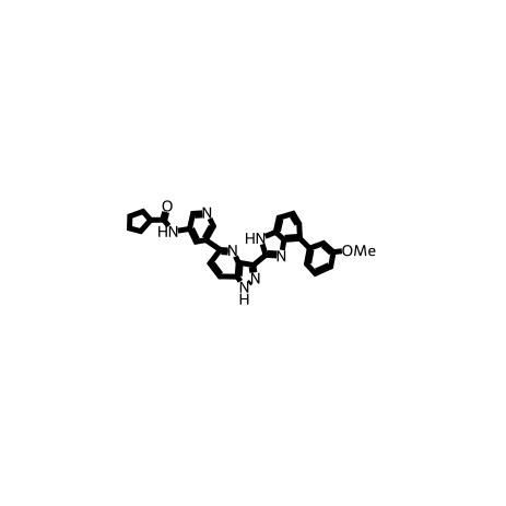 COc1cccc(-c2cccc3[nH]c(-c4n[nH]c5ccc(-c6cncc(NC(=O)C7CCCC7)c6)nc45)nc23)c1